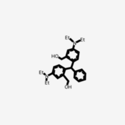 CCN(CC)c1ccc(C(c2ccccc2)c2ccc(N(CC)CC)cc2CO)c(CO)c1